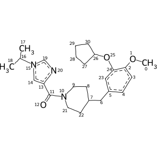 COc1ccc(CC2CCN(C(=O)c3cn(C(C)C)cn3)CC2)cc1OC1CCCC1